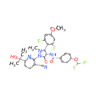 COc1cc(F)c(-c2c(NC(=O)c3ccc(OC(F)F)cc3)c(=O)n(-c3nc(C(C)(C)O)ccc3C#N)n2C)c(F)c1